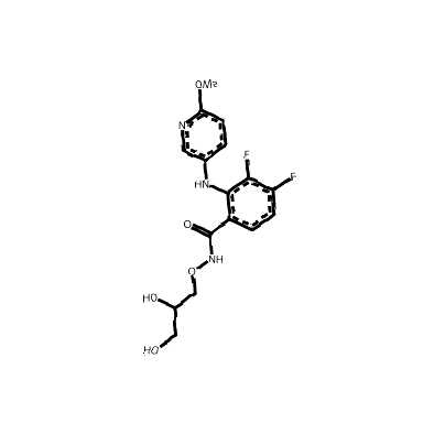 COc1ccc(Nc2c(C(=O)NOCC(O)CO)ccc(F)c2F)cn1